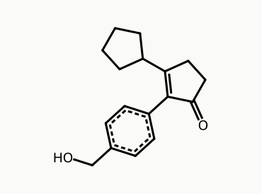 O=C1CCC(C2CCCC2)=C1c1ccc(CO)cc1